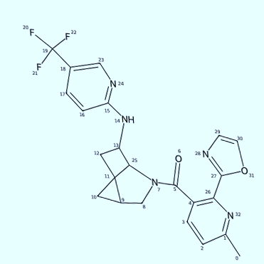 Cc1ccc(C(=O)N2CC3CC34CC(Nc3ccc(C(F)(F)F)cn3)C24)c(-c2ncco2)n1